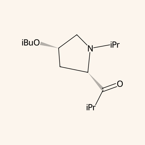 CC(C)CO[C@H]1C[C@@H](C(=O)C(C)C)N(C(C)C)C1